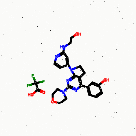 O=C(O)C(F)(F)F.OCCNc1cc(N2CCc3c(-c4cccc(O)c4)nc(N4CCOCC4)nc32)ccn1